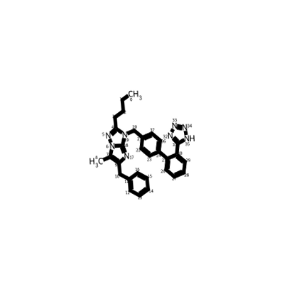 CCCCc1nn2c(C)c(Cc3ccccc3)nc2n1Cc1ccc(-c2ccccc2-c2nnn[nH]2)cc1